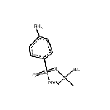 CNS(=O)(=NS(C)(C)C(C)(C)C)c1ccc(N)cc1